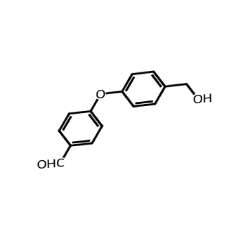 O=Cc1ccc(Oc2ccc(CO)cc2)cc1